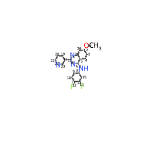 COc1ccc2c(Nc3ccc(F)c(F)c3)nc(-c3cccnc3)nc2c1